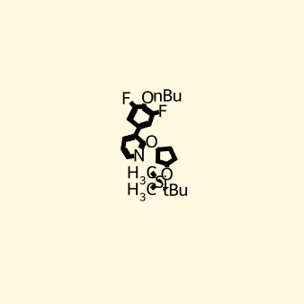 CCCCOc1c(F)cc(-c2cccnc2OC2CCC(O[Si](C)(C)C(C)(C)C)C2)cc1F